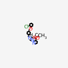 CC(C)OC(=O)c1cccnc1N1CCN(Cc2ccc(COc3ccccc3Cl)cc2)CC1